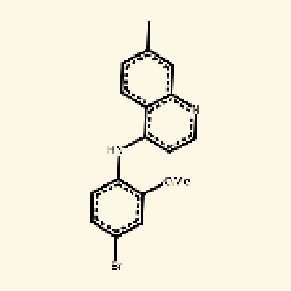 COc1cc(Br)ccc1Nc1ccnc2cc(C)ccc12